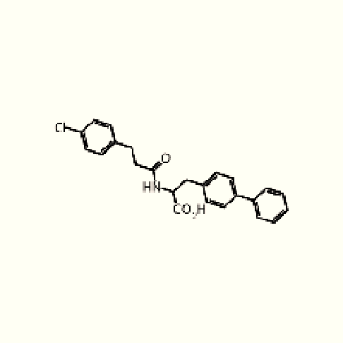 O=C(CCc1ccc(Cl)cc1)NC(Cc1ccc(-c2ccccc2)cc1)C(=O)O